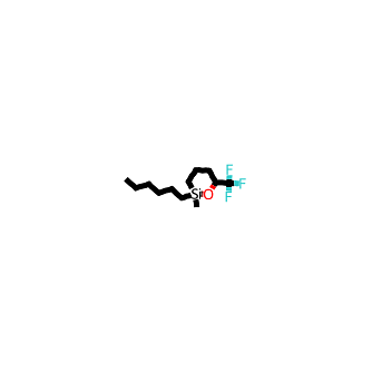 CCCCCC[Si]1(C)CCCC(C(F)(F)F)O1